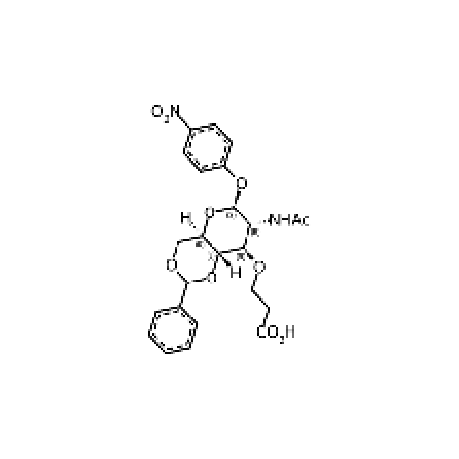 CC(=O)N[C@H]1[C@H](Oc2ccc([N+](=O)[O-])cc2)O[C@@H]2COC(c3ccccc3)O[C@H]2[C@@H]1OCCC(=O)O